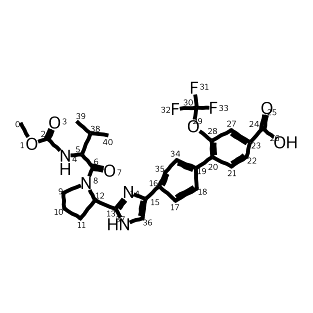 COC(=O)NC(C(=O)N1CCCC1c1nc(-c2ccc(-c3ccc(C(=O)O)cc3OC(F)(F)F)cc2)c[nH]1)C(C)C